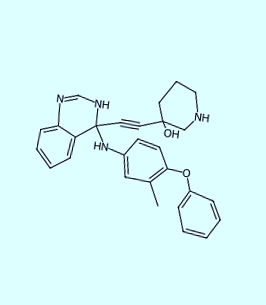 Cc1cc(NC2(C#CC3(O)CCCNC3)NC=Nc3ccccc32)ccc1Oc1ccccc1